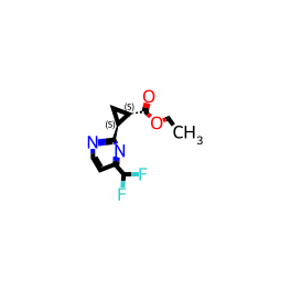 CCOC(=O)[C@H]1C[C@@H]1c1nccc(C(F)F)n1